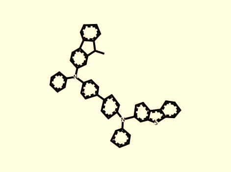 CC1c2ccccc2-c2ccc(N(c3ccccc3)c3ccc(-c4ccc(N(c5ccccc5)c5ccc6c(c5)sc5ccccc56)cc4)cc3)cc21